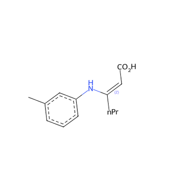 CCC/C(=C/C(=O)O)Nc1cccc(C)c1